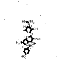 CNC1C(O[C@H]2OC(C)[C@@H]3[C@@H](C2O)N3C(=N)N)O[C@H]2C[C@H](N)[C@@H](O[C@H]3C[C@H](O)CCC3N)OC2C1O